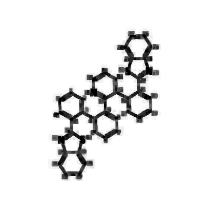 c1ccc(-c2ccccc2-c2ncccc2-c2ccccc2-c2nc3ccccc3s2)c(-c2nc3ccccc3s2)c1